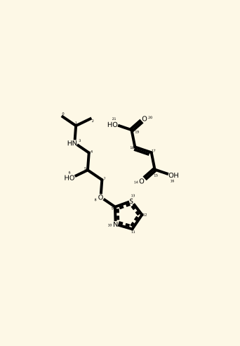 CC(C)NCC(O)COc1nccs1.O=C(O)C=CC(=O)O